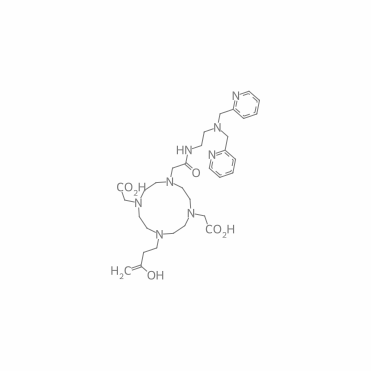 C=C(O)CCN1CCN(CC(=O)O)CCN(CC(=O)NCCN(Cc2ccccn2)Cc2ccccn2)CCN(CC(=O)O)CC1